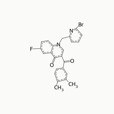 Cc1ccc(C(=O)c2cn(Cc3cccc(Br)n3)c3ccc(F)cc3c2=O)cc1C